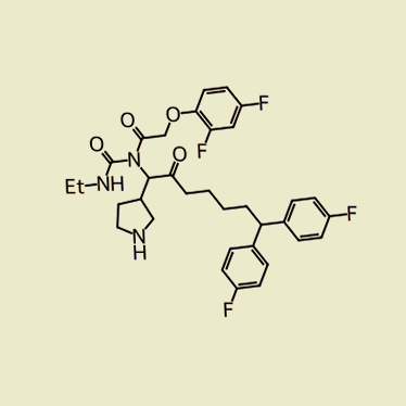 CCNC(=O)N(C(=O)COc1ccc(F)cc1F)C(C(=O)CCCCC(c1ccc(F)cc1)c1ccc(F)cc1)C1CCNC1